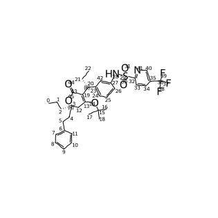 CCC[C@@]1(CCc2ccccc2)CC(OC(C)(C)C)=C([C@H](CC)c2cccc(NS(=O)(=O)c3ccc(C(F)(F)F)cn3)c2)C(=O)O1